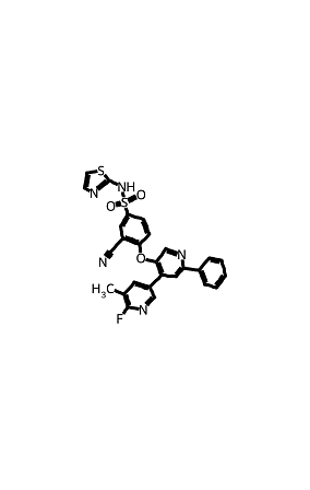 Cc1cc(-c2cc(-c3ccccc3)ncc2Oc2ccc(S(=O)(=O)Nc3nccs3)cc2C#N)cnc1F